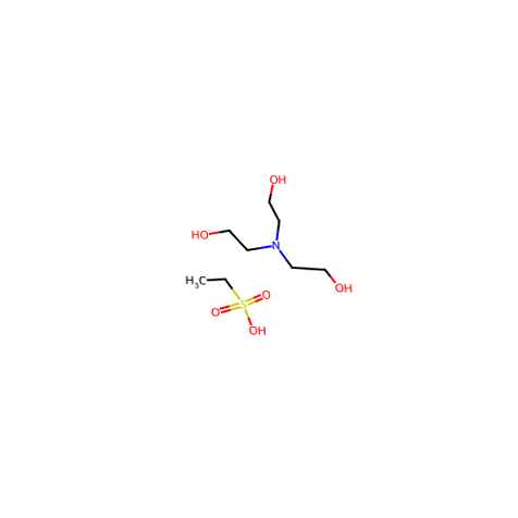 CCS(=O)(=O)O.OCCN(CCO)CCO